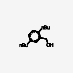 CCCCc1ccc(CCCC)c(CO)c1